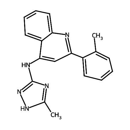 Cc1nc(Nc2cc(-c3ccccc3C)nc3ccccc23)n[nH]1